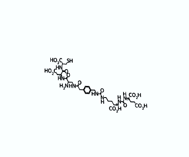 NC(CNC(=O)Cc1ccc(CNC(=O)NCCCC[C@H](NC(=O)N[C@@H](CCC(=O)O)C(=O)O)C(=O)O)cc1)C(=O)N[C@@H](CC(=O)O)C(=O)NC(CS)C(=O)O